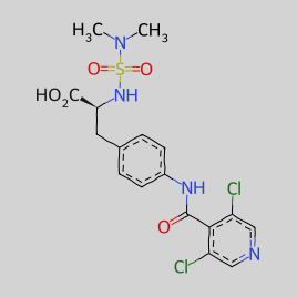 CN(C)S(=O)(=O)N[C@@H](Cc1ccc(NC(=O)c2c(Cl)cncc2Cl)cc1)C(=O)O